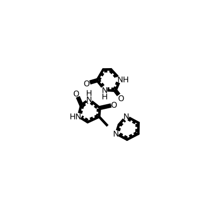 Cc1c[nH]c(=O)[nH]c1=O.O=c1cc[nH]c(=O)[nH]1.c1cncnc1